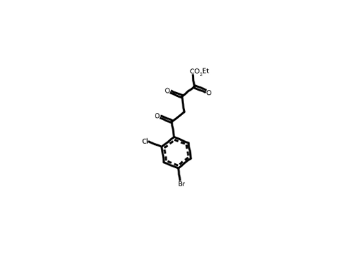 CCOC(=O)C(=O)C(=O)CC(=O)c1ccc(Br)cc1Cl